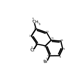 Cc1cc(Cl)c2c(Br)cccc2c1